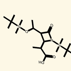 CC(O[Si](C)(C)C(C)(C)C)C1C(=O)N([Si](C)(C)C(C)(C)C)C1C(C)C(=O)O